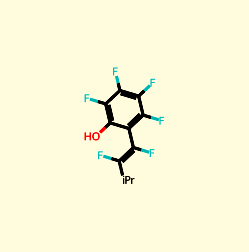 CC(C)C(F)=C(F)c1c(O)c(F)c(F)c(F)c1F